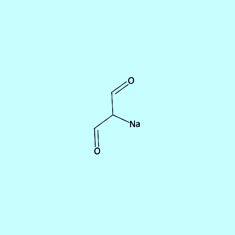 O=C[CH]([Na])C=O